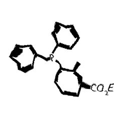 CCOC(=O)c1cccc(P(c2ccccc2)c2ccccc2)c1C